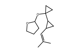 CC(C)=CC1CC1C1(OC2CCCO2)CC1